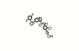 O=C(Nc1ccc(N2CC(O)C2)c(Cl)c1)c1cnn2ccc(N3CCCC3c3cc(F)ccc3F)cc12